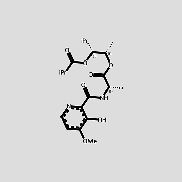 COc1ccnc(C(=O)N[C@@H](C)C(=O)O[C@@H](C)[C@H](OC(=O)C(C)C)C(C)C)c1O